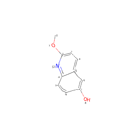 COc1ccc2cc(O)ccc2n1